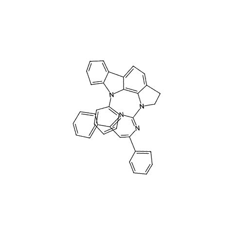 c1ccc(-c2cc(-c3ccccc3)nc(N3CCc4ccc5c6ccccc6n(-c6ccccc6)c5c43)n2)cc1